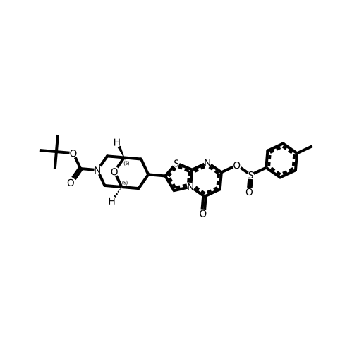 Cc1ccc(S(=O)Oc2cc(=O)n3cc(C4C[C@H]5CN(C(=O)OC(C)(C)C)C[C@H](C4)O5)sc3n2)cc1